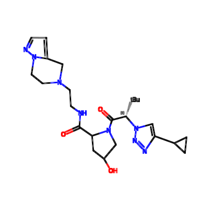 CC(C)(C)[C@@H](C(=O)N1CC(O)CC1C(=O)NCCN1CCn2nccc2C1)n1cc(C2CC2)nn1